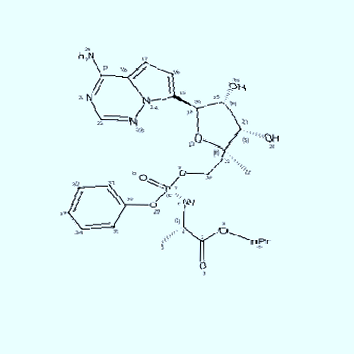 CCCOC(=O)[C@H](C)N[P@](=O)(OC[C@@]1(C)O[C@@H](c2ccc3c(N)ncnn23)[C@H](O)[C@@H]1O)Oc1ccccc1